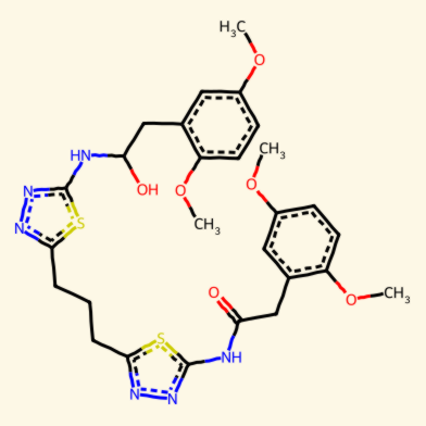 COc1ccc(OC)c(CC(=O)Nc2nnc(CCCc3nnc(NC(O)Cc4cc(OC)ccc4OC)s3)s2)c1